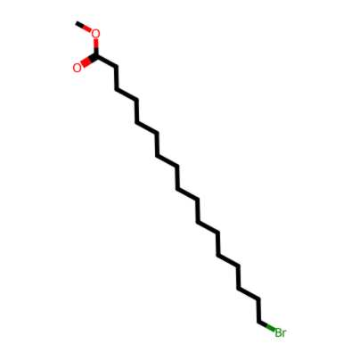 COC(=O)CCCCCCCCCCCCCCCCBr